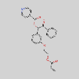 C=CC(=O)OCCOc1cccc(C(OC(=O)c2ccncc2)C(=O)c2ccccc2)c1